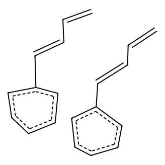 C=CC=Cc1ccccc1.C=CC=Cc1ccccc1